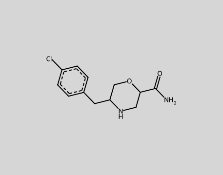 NC(=O)C1CNC(Cc2ccc(Cl)cc2)CO1